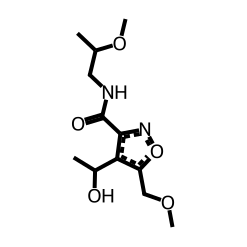 COCc1onc(C(=O)NCC(C)OC)c1C(C)O